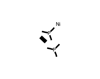 C#C.CP(C)C.CP(C)C.[Ni]